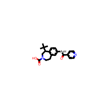 CC(C)(C)C1CN(C(=O)O)CCc2cc([AsH]C(=O)c3ccncc3)ccc21